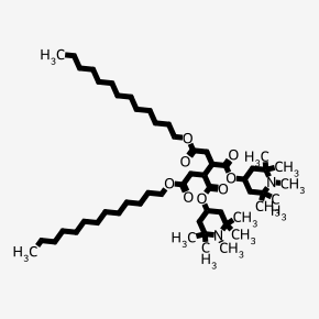 CCCCCCCCCCCCCOC(=O)CC(C(=O)OC1CC(C)(C)N(C)C(C)(C)C1)C(CC(=O)OCCCCCCCCCCCCC)C(=O)OC1CC(C)(C)N(C)C(C)(C)C1